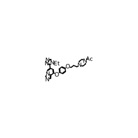 CCn1cnnc1-c1cc(Oc2ccc(OCCCN3CCN(C(C)=O)CC3)cc2)c2cncn2c1